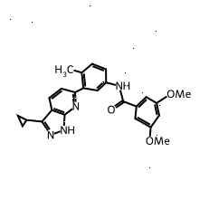 COc1cc(OC)cc(C(=O)Nc2ccc(C)c(-c3ccc4c(C5CC5)n[nH]c4n3)c2)c1